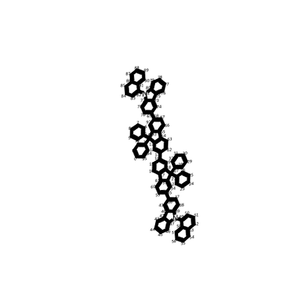 c1ccc(C2(c3ccccc3)c3cc(-c4ccc5c(c4)C(c4ccccc4)(c4ccccc4)c4cc(-c6ccc7c(c6)c6ccccc6n7-c6cccc7ccccc67)ccc4-5)ccc3-c3ccc(-c4ccc5c(c4)c4ccccc4n5-c4cccc5ccccc45)cc32)cc1